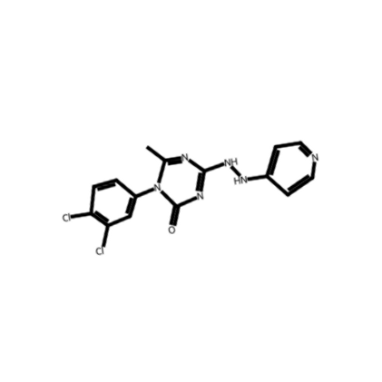 Cc1nc(NNc2ccncc2)nc(=O)n1-c1ccc(Cl)c(Cl)c1